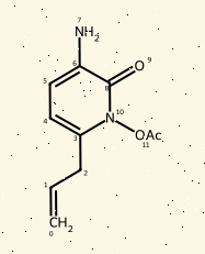 C=CCc1ccc(N)c(=O)n1OC(C)=O